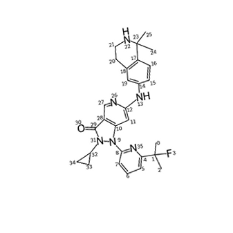 CC(C)(F)c1cccc(-n2c3cc(Nc4ccc5c(c4)CCNC5(C)C)ncc3c(=O)n2C2CC2)n1